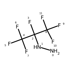 NNC(F)(C(F)(F)F)C(F)(F)F